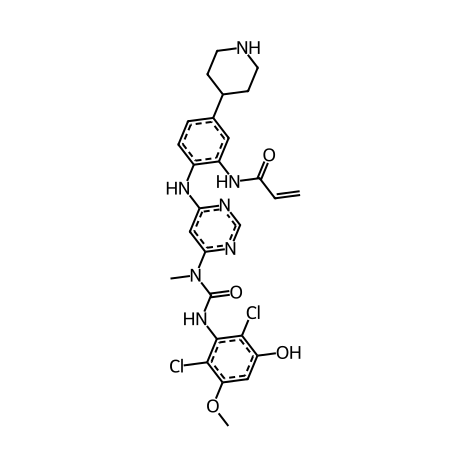 C=CC(=O)Nc1cc(C2CCNCC2)ccc1Nc1cc(N(C)C(=O)Nc2c(Cl)c(O)cc(OC)c2Cl)ncn1